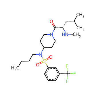 CCCCN(C1CCN(C(=O)[C@H](CC(C)C)NC)CC1)S(=O)(=O)c1cccc(C(F)(F)F)c1